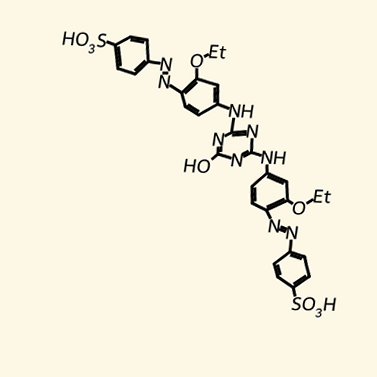 CCOc1cc(Nc2nc(O)nc(Nc3ccc(/N=N/c4ccc(S(=O)(=O)O)cc4)c(OCC)c3)n2)ccc1/N=N/c1ccc(S(=O)(=O)O)cc1